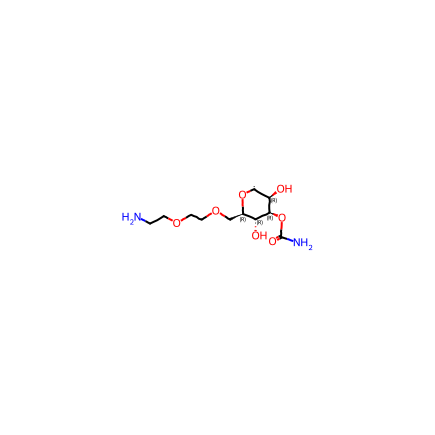 NCCOCCOC[C@H]1O[CH][C@@H](O)[C@@H](OC(N)=O)[C@@H]1O